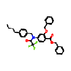 CCCCc1ccc(CN(C(=O)C(F)(F)F)c2ccc(C(=O)OCc3ccccc3)c(OCc3ccccc3)c2)cc1